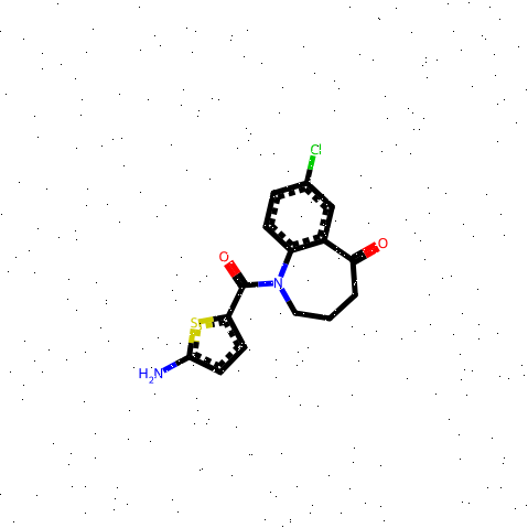 Nc1ccc(C(=O)N2CCCC(=O)c3cc(Cl)ccc32)s1